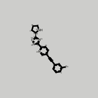 Fc1cccc(C#Cc2ccc(-c3noc([C@H]4CCCN4)n3)nc2)c1